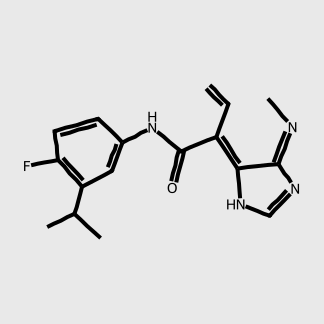 C=C/C(C(=O)Nc1ccc(F)c(C(C)C)c1)=C1/NC=N/C1=N/C